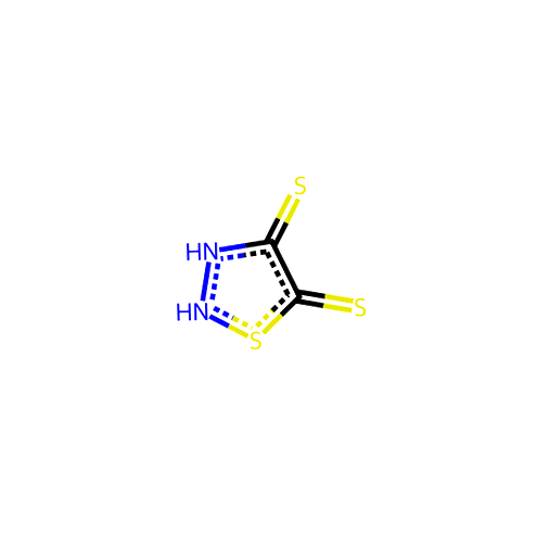 S=c1[nH][nH]sc1=S